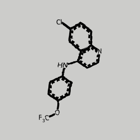 FC(F)(F)Oc1ccc(Nc2ccnc3ccc(Cl)cc23)cc1